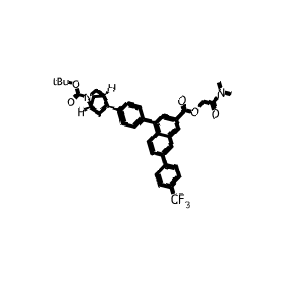 CN(C)C(=O)COC(=O)c1cc(-c2ccc([C@H]3C[C@H]4C[C@@H]3CN4C(=O)OC(C)(C)C)cc2)c2ccc(-c3ccc(C(F)(F)F)cc3)cc2c1